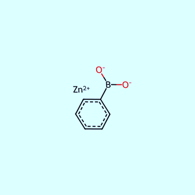 [O-]B([O-])c1ccccc1.[Zn+2]